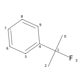 CC(C)(F)c1cc[c]cc1